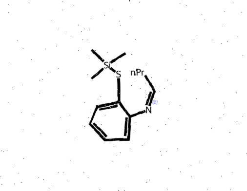 CCC/C=N\c1ccccc1S[Si](C)(C)C